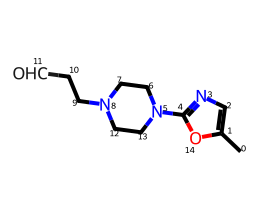 Cc1cnc(N2CCN(CCC=O)CC2)o1